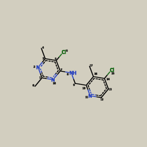 Cc1nc(C)c(Cl)c(NCc2nccc(Cl)c2C)n1